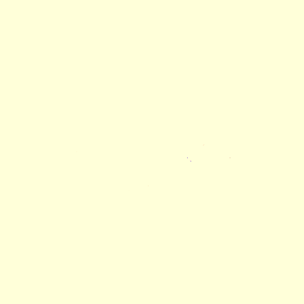 O=C(NCc1cc(Cc2cccs2)cs1)C(F)(F)F